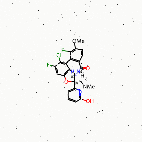 CNC[C@]1(c2cccc(O)n2)Oc2cc(F)c(Cl)c(-c3c(C(N)=O)ccc(OC)c3F)c2[C@@H]1C